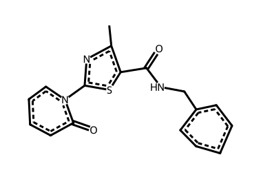 Cc1nc(-n2ccccc2=O)sc1C(=O)NCc1ccccc1